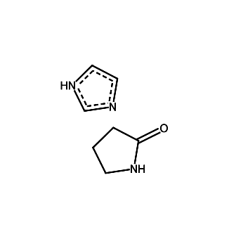 O=C1CCCN1.c1c[nH]cn1